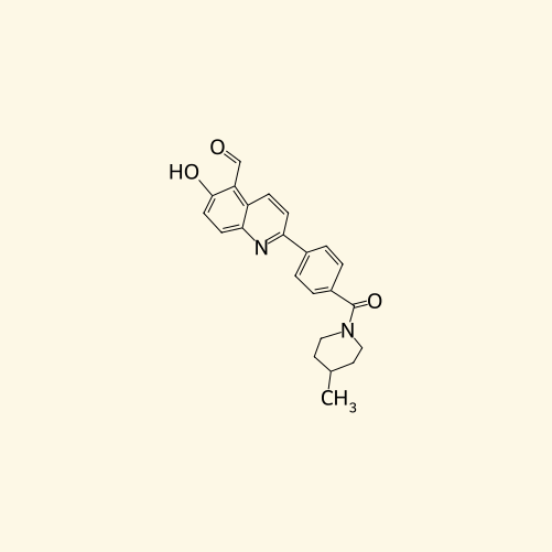 CC1CCN(C(=O)c2ccc(-c3ccc4c(C=O)c(O)ccc4n3)cc2)CC1